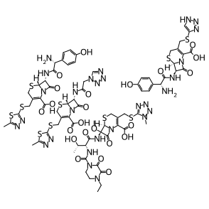 CCN1CCN(C(=O)N[C@@H](C(=O)N[C@]2(OC)C(=O)N3C(C(=O)O)=C(CSc4nnnn4C)CS[C@@H]32)[C@H](C)O)C(=O)C1=O.Cc1nnc(SCC2=C(C(=O)O)N3C(=O)[C@@H](NC(=O)Cn4cnnn4)[C@H]3SC2)s1.Cc1nnc(SCC2=C(C(=O)O)N3C(=O)[C@@H](NC(=O)[C@H](N)c4ccc(O)cc4)[C@H]3SC2)s1.N[C@@H](C(=O)N[C@@H]1C(=O)N2C(C(=O)O)=C(CSc3c[nH]nn3)CS[C@H]12)c1ccc(O)cc1